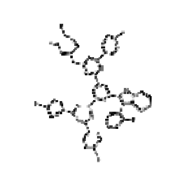 C=C/C=C(\C=C/CF)Cc1nc(-c2ccc(F)cc2)nc(-c2cc(-c3nc(-c4ccc(F)cc4)nc(-c4ccc(F)cc4)n3)cc(-c3nc4ccccc4n3-c3ccccc3F)c2)n1